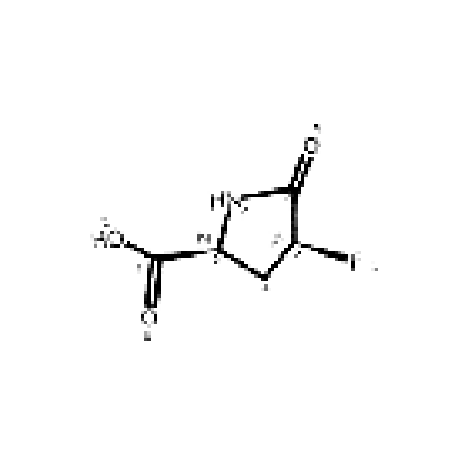 O=C(O)[C@@H]1C[C@H](F)C(=O)N1